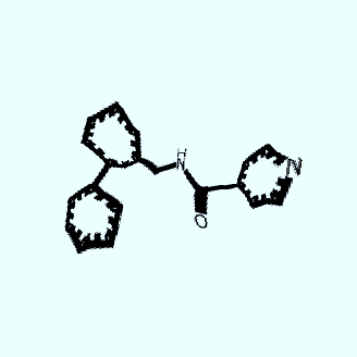 O=C(NCc1ccccc1-c1ccccc1)c1ccncc1